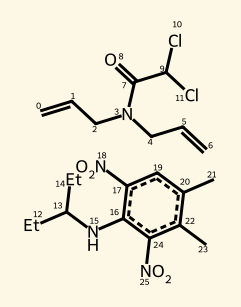 C=CCN(CC=C)C(=O)C(Cl)Cl.CCC(CC)Nc1c([N+](=O)[O-])cc(C)c(C)c1[N+](=O)[O-]